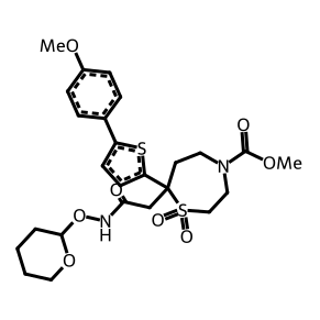 COC(=O)N1CCC(CC(=O)NOC2CCCCO2)(c2ccc(-c3ccc(OC)cc3)s2)S(=O)(=O)CC1